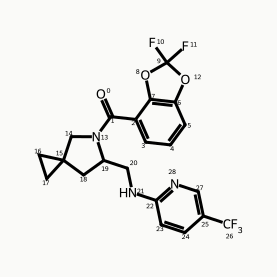 O=C(c1cccc2c1OC(F)(F)O2)N1CC2(CC2)CC1CNc1ccc(C(F)(F)F)cn1